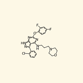 Fc1ccc(Oc2nc(NCCCN3CCOCC3)c3c(-c4ccccc4Cl)n[nH]c3n2)c(F)c1